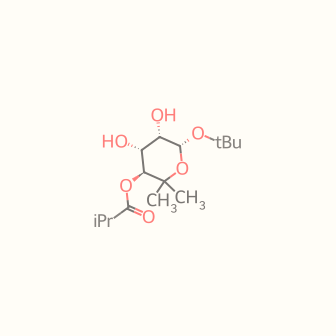 CC(C)C(=O)O[C@H]1[C@H](O)[C@H](O)[C@H](OC(C)(C)C)OC1(C)C